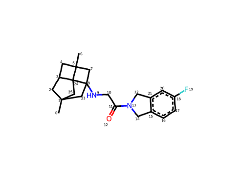 CC12CC3CC4(C)CC(NCC(=O)N5Cc6ccc(F)cc6C5)(C1)C34C2